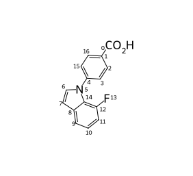 O=C(O)c1ccc(-n2ccc3cccc(F)c32)cc1